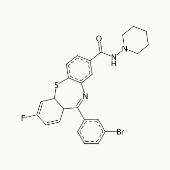 O=C(NN1CCCCC1)c1ccc2c(c1)N=C(c1cccc(Br)c1)C1C=CC(F)=CC1S2